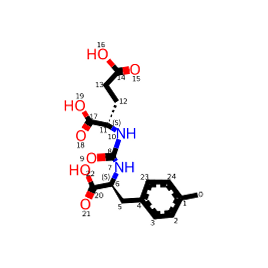 Cc1ccc(C[C@H](NC(=O)N[C@@H](CCC(=O)O)C(=O)O)C(=O)O)cc1